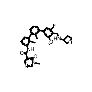 COc1cc(-c2cccc(-c3cccc(NC(=O)c4cncn(C)c4=O)c3C)c2C)cc(F)c1CNC1CCOC1